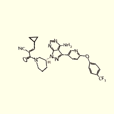 N#CC(=CC1CC1)C(=O)N1CCC[C@@H](n2nc(-c3ccc(Oc4ccc(C(F)(F)F)cc4)nc3)c3c(N)ncnc32)C1